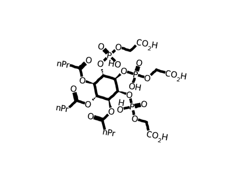 CCCC(=O)O[C@@H]1[C@@H](OC(=O)CCC)[C@H](OP(=O)(O)OCC(=O)O)[C@@H](OP(=O)(O)OCC(=O)O)[C@@H](OP(=O)(O)OCC(=O)O)[C@H]1OC(=O)CCC